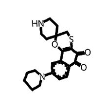 O=C1C(=O)c2ccc(N3CCCCC3)cc2C2=C1SCC1(CCNCC1)O2